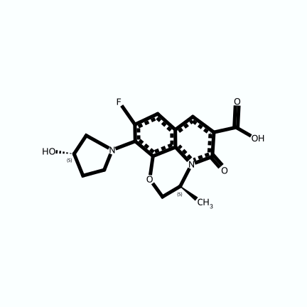 C[C@H]1COc2c(N3CC[C@H](O)C3)c(F)cc3cc(C(=O)O)c(=O)n1c23